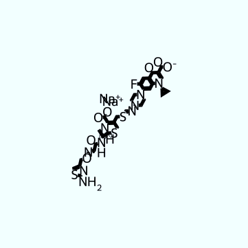 Nc1nc(CON=CC(=O)N[C@@H]2CN3C(C(=O)[O-])=C(CSC=NN4CCN(c5cc6c(cc5F)c(=O)c(C(=O)[O-])cn6C5CC5)CC4)CS[C@H]23)cs1.[Na+].[Na+]